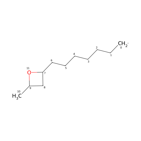 [CH2]CCCCCCC1CC(C)O1